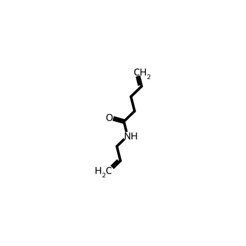 C=CCCC(=O)NCC=C